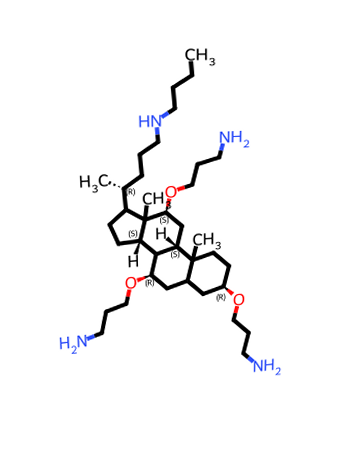 CCCCNCCC[C@@H](C)C1CC[C@H]2C3[C@H](OCCCN)CC4C[C@H](OCCCN)CCC4(C)[C@H]3C[C@H](OCCCN)C12C